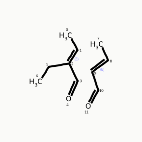 C/C=C(/C=O)CC.C/C=C/C=O